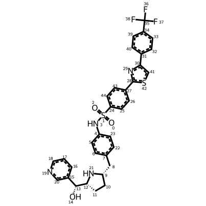 O=S(=O)(Nc1ccc(C[C@@H]2CC[C@H]([C@H](O)c3cccnc3)N2)cc1)c1ccc(-c2nc(-c3ccc(C(F)(F)F)cc3)cs2)cc1